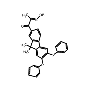 CC(=NO)C(=O)c1ccc2c(c1)C(C)(C)c1cc(Sc3ccccc3)c(Sc3ccccc3)cc1-2